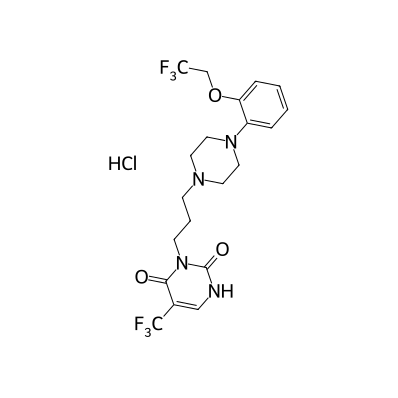 Cl.O=c1[nH]cc(C(F)(F)F)c(=O)n1CCCN1CCN(c2ccccc2OCC(F)(F)F)CC1